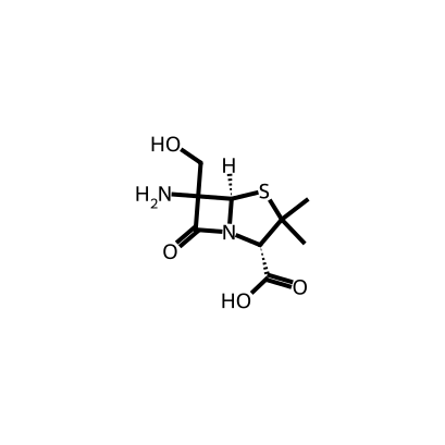 CC1(C)S[C@H]2N(C(=O)C2(N)CO)[C@H]1C(=O)O